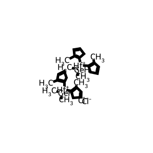 CC1=[C]([Hf+]([C]2=C(C)C=CC2)[GeH]([CH3])[CH3])CC=C1.CC1=[C]([Hf+]([C]2=C(C)C=CC2)[GeH]([CH3])[CH3])CC=C1.[Cl-].[Cl-]